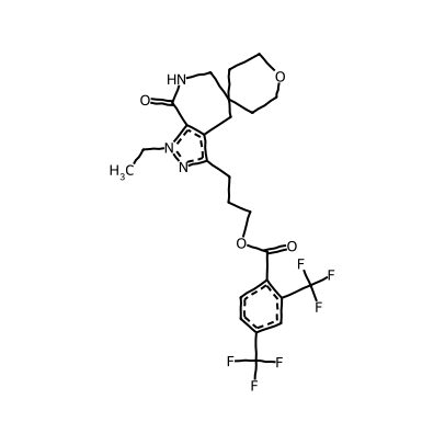 CCn1nc(CCCOC(=O)c2ccc(C(F)(F)F)cc2C(F)(F)F)c2c1C(=O)NCC1(CCOCC1)C2